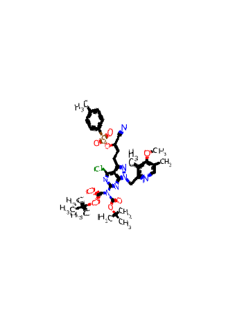 COc1c(C)cnc(Cn2nc(CCC(C#N)OS(=O)(=O)c3ccc(C)cc3)c3c(Cl)nc(N(C(=O)OC(C)(C)C)C(=O)OC(C)(C)C)nc32)c1C